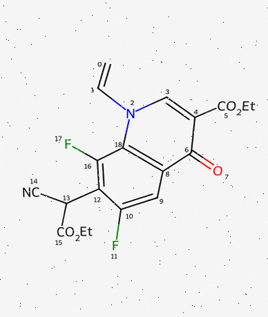 C=Cn1cc(C(=O)OCC)c(=O)c2cc(F)c(C(C#N)C(=O)OCC)c(F)c21